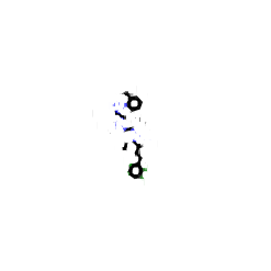 C=C(C)C[C@H](NC(=C)[C@H](C)N(C)C(=C)C(=C)Nc1ccccc1C(C)(C)C)C(=C)CCc1c(F)c(F)cc(F)c1F